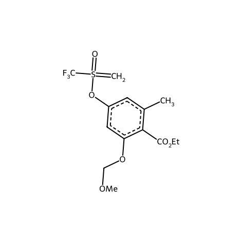 C=S(=O)(Oc1cc(C)c(C(=O)OCC)c(OCOC)c1)C(F)(F)F